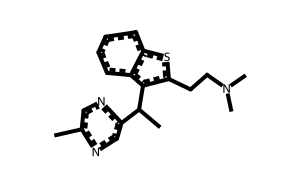 Cc1cnc(C(C)c2c(CCN(C)C)sc3ccccc23)cn1